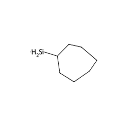 [SiH2]C1CCCCCC1